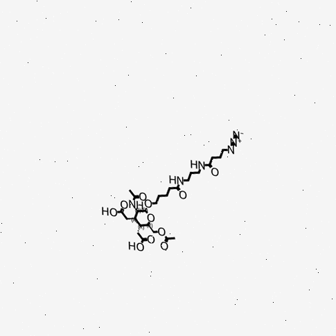 CC(=O)N[C@H]1[C@H](OCCCCC(=O)NCCCNC(=O)CCCN=[N+]=[N-])O[C@@H](COC(C)=O)[C@H](CC(=O)O)[C@H]1CC(=O)O